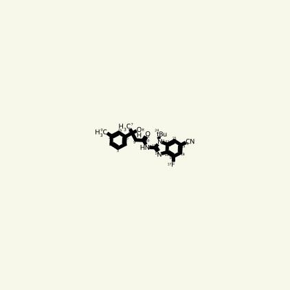 Cc1cccc(C(C)(O)CC(=O)Nc2nc3c(F)cc(C#N)cc3n2C(C)(C)C)c1